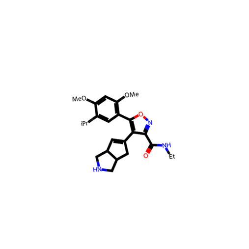 CCNC(=O)c1noc(-c2cc(C(C)C)c(OC)cc2OC)c1C1=CC2CNCC2C1